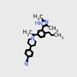 C=C(c1ccc(CCC)c(-c2[nH]c(C)nc2C)c1)N1CCC(c2ccc(C#N)cc2)CC1